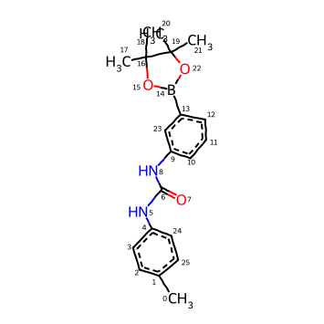 Cc1ccc(NC(=O)Nc2cccc(B3OC(C)(C)C(C)(C)O3)c2)cc1